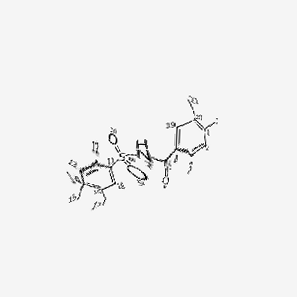 Cc1ccc(C(=O)NS(=O)(=O)c2ccc(C)c(C)c2)cc1C